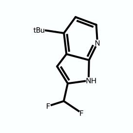 CC(C)(C)c1ccnc2[nH]c(C(F)F)cc12